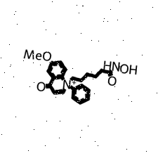 COc1ccc2c(c1)C(=O)C=C[N+]2(CCCCCC(=O)NO)c1ccccc1